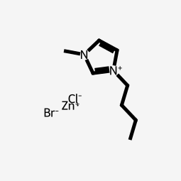 CCCC[n+]1ccn(C)c1.[Br-].[Cl-].[Zn+]